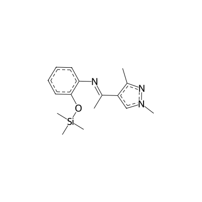 CC(=Nc1ccccc1O[Si](C)(C)C)c1cn(C)nc1C